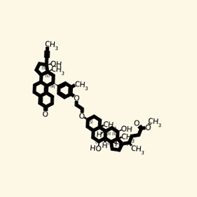 CC#C[C@]1(O)CCC2C3CCC4=CC(=O)CCC4=C3[C@@H](c3ccc(OCCO[C@H]4CC[C@@]5(C)C(C4)C[C@@H](O)[C@H]4[C@@H]6CCC([C@H](C)CCC(=O)OC)[C@@]6(C)[C@@H](O)C[C@@H]45)c(C)c3)C[C@@]21C